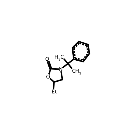 CCC1CN(C(C)(C)c2ccccc2)C(=O)O1